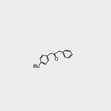 CCC(C)c1ccc(CC(=O)Cc2ccccc2)cc1